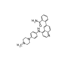 CN1CCN(c2ccc(Nc3ccnc4ccc(-c5ccccc5C(N)=O)cc34)cc2)CC1